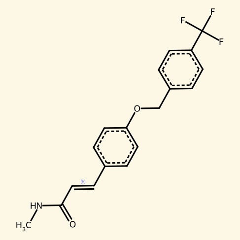 CNC(=O)/C=C/c1ccc(OCc2ccc(C(F)(F)F)cc2)cc1